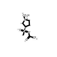 CS(=O)(=NC(=O)C(F)(F)F)[C@@H]1CCN(C(=O)O)C1